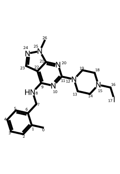 Cc1ccccc1CNc1nc(N2CCN(CI)CC2)nc2c1cnn2C